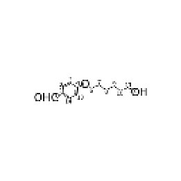 O=Cc1ccc(OCCCCCCO)cc1